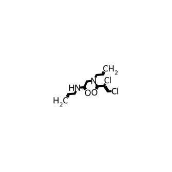 C=CCNC(=O)CN(CC=C)C(=O)C(Cl)=CCl